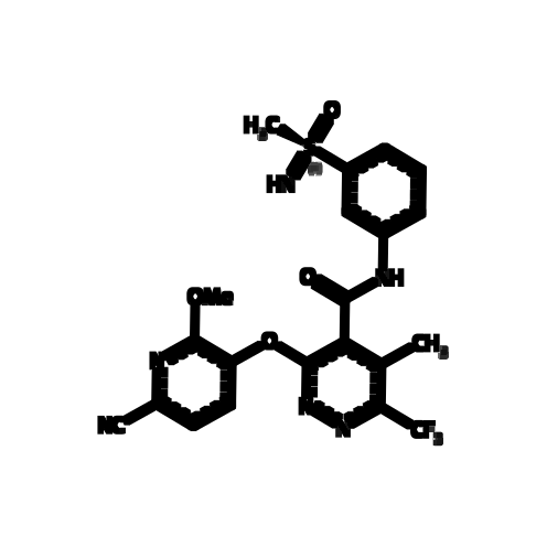 COc1nc(C#N)ccc1Oc1nnc(C(F)(F)F)c(C)c1C(=O)Nc1cccc([S@](C)(=N)=O)c1